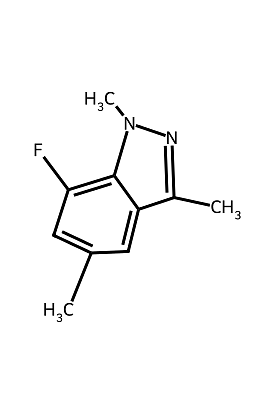 Cc1cc(F)c2c(c1)c(C)nn2C